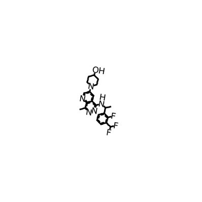 Cc1nnc(NC(C)c2cccc(C(F)F)c2F)c2cc(N3CCC(O)CC3)cnc12